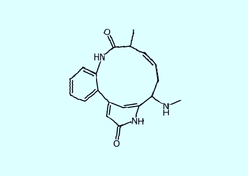 CNC1CC=CC(C)C(=O)Nc2ccccc2-c2cc1[nH]c(=O)c2